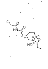 CC=C(C)[C@@]1(O)C[C@H](OC(=O)NC(=O)CCl)CC[C@]12CO2